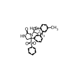 Cc1ccc(C)c(-c2cccc(C3(S(=O)(=O)c4ccccc4)CNC(=O)N3C(C)C)c2)c1